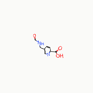 O=CNCc1ccc(C(=O)O)nc1